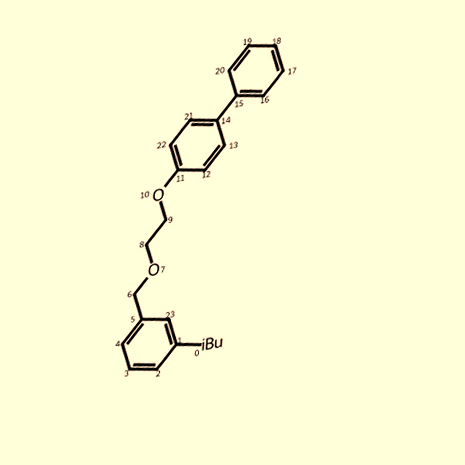 CCC(C)c1cccc(COCCOc2ccc(-c3ccccc3)cc2)c1